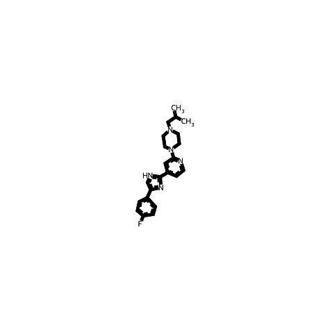 CC(C)CN1CCN(c2cc(-c3nc(-c4ccc(F)cc4)c[nH]3)ccn2)CC1